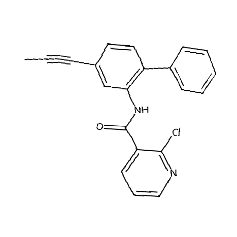 CC#Cc1ccc(-c2ccccc2)c(NC(=O)c2cccnc2Cl)c1